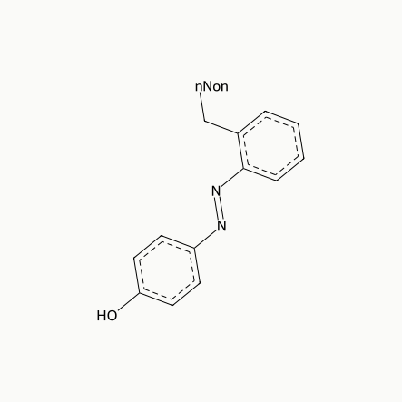 CCCCCCCCCCc1ccccc1N=Nc1ccc(O)cc1